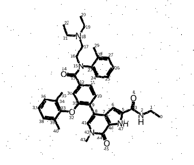 CCNC(=O)c1cc2c(-c3ccc(C(=O)N(CCN(CC)CC)c4ccccc4C)cc3Oc3c(C)cccc3C)cn(C)c(=O)c2[nH]1